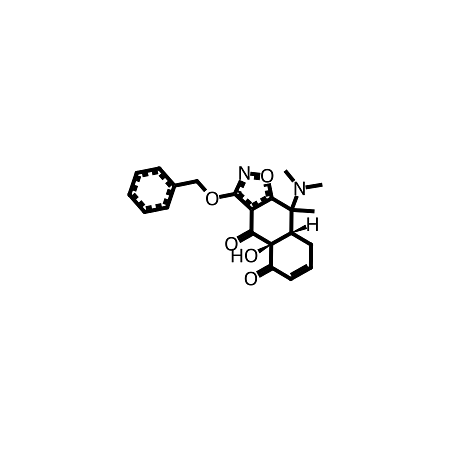 CN(C)C1(C)c2onc(OCc3ccccc3)c2C(=O)[C@@]2(O)C(=O)C=CC[C@@H]12